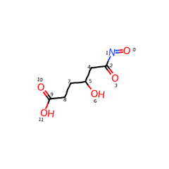 O=NC(=O)CC(O)CCC(=O)O